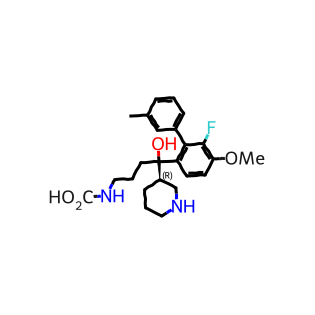 COc1ccc(C(O)(CCCNC(=O)O)[C@@H]2CCCNC2)c(-c2cccc(C)c2)c1F